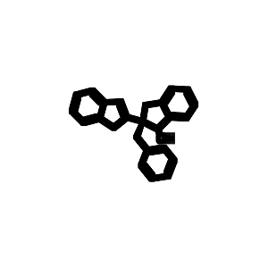 O[C@@H]1c2ccccc2C[C@@]1(Cc1ccccc1)C1=Cc2ccccc2C1